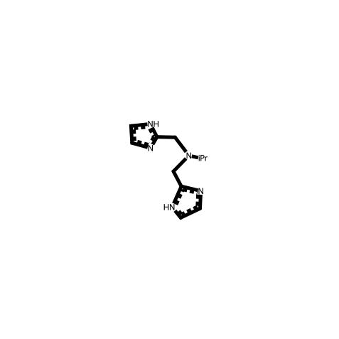 CC(C)N(Cc1ncc[nH]1)Cc1ncc[nH]1